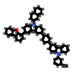 N#Cc1cccc(-n2c3ccccc3c3cc(-c4ccc(-c5ccc6c(c5)c5cc(-c7cccc8c7oc7ccccc78)ccc5n6-c5ccc6ccccc6c5)cc4)ccc32)c1